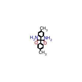 Cc1ccc(C(C(N)=O)(C(N)=O)c2ccc(C)cc2)cc1